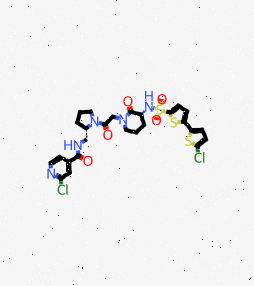 O=C(NC[C@@H]1CCCN1C(=O)CN1CCC[C@H](NS(=O)(=O)c2ccc(-c3ccc(Cl)s3)s2)C1=O)c1ccnc(Cl)c1